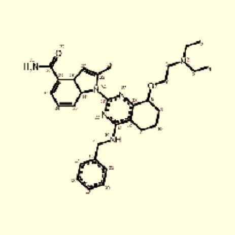 CCN(CC)CCOC1CCCc2c(NCc3ccccc3)nc(N3C(C)=CC4C(C(N)=O)=CC=CC43)nc21